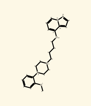 COc1ccccc1N1CCN(CCCCOc2cccn3nccc23)CC1